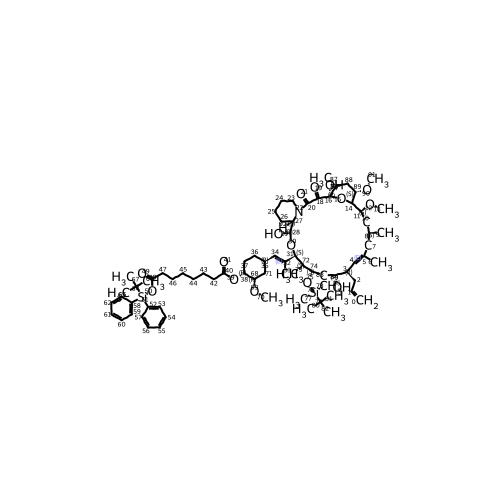 C=CC[C@@H]1/C=C(\C)C[C@H](C)C[C@H](OC)C2O[C@@](O)(C(=O)C(=O)N3CCCC[C@H]3[C@H](O)O[C@H](/C(C)=C/[C@@H]3CC[C@@H](OC(=O)CCCCCCC(=O)O[Si](c4ccccc4)(c4ccccc4)C(C)(C)C)[C@H](OC)C3)[C@H](C)[C@@H](O[Si](C)(C)C(C)(C)C)C[C@H]1O)[C@H](C)C[C@@H]2OC